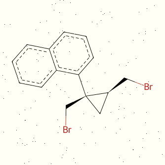 BrC[C@H]1C[C@]1(CBr)c1cccc2ccccc12